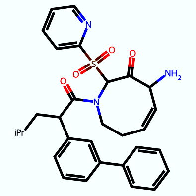 CC(C)CC(C(=O)N1CCC=CC(N)C(=O)C1S(=O)(=O)c1ccccn1)c1cccc(-c2ccccc2)c1